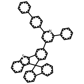 c1ccc(-c2ccc(-c3cc(-c4ccc5c(c4)-c4sc6ccccc6c4C54c5ccccc5-c5ccccc54)cc(-c4ccccc4)n3)cc2)cc1